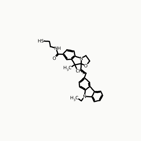 CCn1c2ccccc2c2cc(/C=C/C34OCCN3c3ccc(C(=O)NCCS)cc3C4(C)C)ccc21